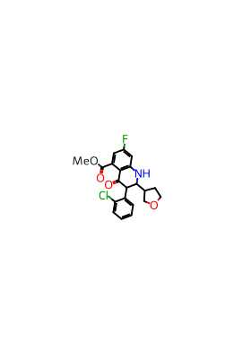 COC(=O)c1cc(F)cc2c1C(=O)C(c1ccccc1Cl)C(C1CCOC1)N2